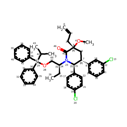 C=CC[C@@]1(OC)C[C@H](c2cccc(Cl)c2)[C@@H](c2ccc(Cl)cc2)N([C@@H](CC)CO[Si](c2ccccc2)(c2ccccc2)C(C)C)C1=O